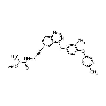 COC(C)C(=O)NCC#Cc1ccc2ncnc(Nc3ccc(Oc4ccc(C)nc4)c(C)c3)c2c1